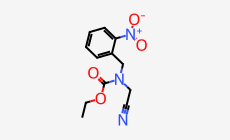 CCOC(=O)N(CC#N)Cc1ccccc1[N+](=O)[O-]